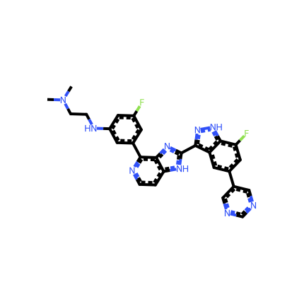 CN(C)CCNc1cc(F)cc(-c2nccc3[nH]c(-c4n[nH]c5c(F)cc(-c6cncnc6)cc45)nc23)c1